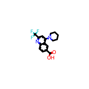 O=C(O)c1ccc2nc(C(F)(F)F)cc(N3CCCCC3)c2c1